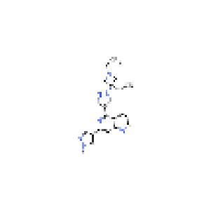 Cn1cc(-c2cc3ncccc3c(-c3cnn(C4(CC#N)CN(CC(F)(F)F)C4)c3)n2)cn1